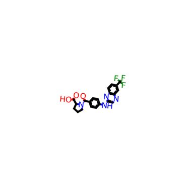 O=C(O)C1CCCN1C(=O)c1ccc(Nc2cnc3cc(C(F)(F)F)ccc3n2)cc1